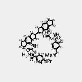 CNCc1ccc(S(N)(=O)=NC(=O)Nc2c3c(cc4c2CC(C2Cc5cc6c(c(NC(=O)N=S(N)(=O)c7ccc(C(C)C)nc7)c5C2)CCC6)C4)CCC3)c(F)c1